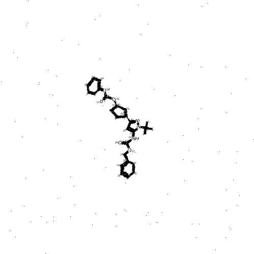 CC(C)(C)n1nc([C@H]2CC[C@@H](OC(=O)Oc3ccccc3)C2)cc1NC(=O)OCc1ccccc1